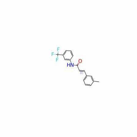 Cc1cccc(/C=C/C(=O)Nc2cccc(C(F)(F)F)c2)c1